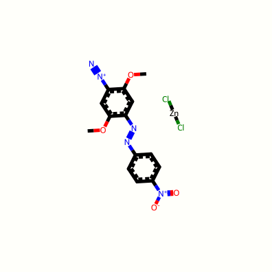 COc1cc([N+]#N)c(OC)cc1N=Nc1ccc([N+](=O)[O-])cc1.[Cl][Zn][Cl]